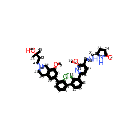 COc1cc(-c2cccc(-c3cccc(-c4ccc(CNC[C@@H]5CCC(=O)N5)c(OC)n4)c3Cl)c2Cl)cc2c1CN(CCC(C)(C)O)CC2